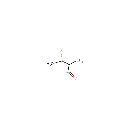 CC(Cl)C(C)[C]=O